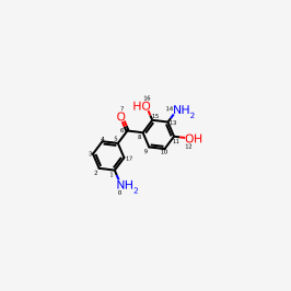 Nc1cccc(C(=O)c2ccc(O)c(N)c2O)c1